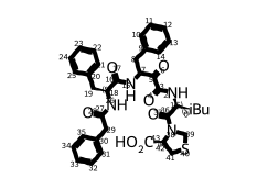 CC[C@H](C)[C@H](NC(=O)C(=O)C(Cc1ccccc1)NC(=O)[C@H](Cc1ccccc1)NC(=O)Cc1ccccc1)C(=O)N1CSC[C@H]1C(=O)O